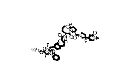 CCCOC(=O)[C@H](C)NP(=O)(Oc1ccccc1)C(F)c1ccc2ccc(C(=O)N[C@H]3CCCC[C@H]4CC[C@@H](C(=O)N5CCC(F)(c6ccn(C)c(=O)c6)C5)N4C3=O)cc2c1